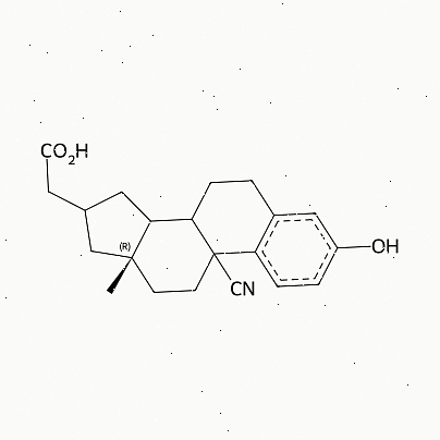 C[C@]12CCC3(C#N)c4ccc(O)cc4CCC3C1CC(CC(=O)O)C2